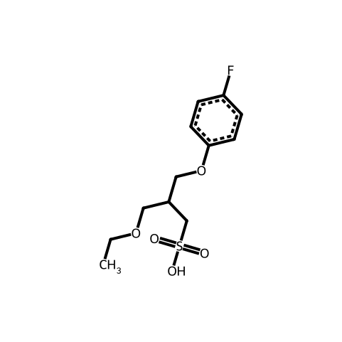 CCOCC(COc1ccc(F)cc1)CS(=O)(=O)O